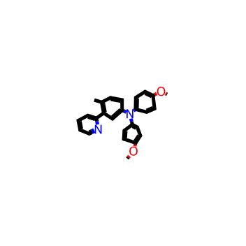 COc1ccc(N(c2ccc(OC)cc2)c2ccc(C)c(-c3ccccn3)c2)cc1